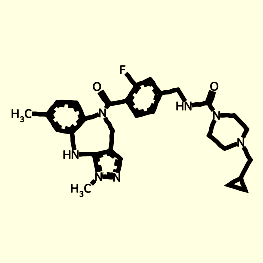 Cc1ccc2c(c1)Nc1c(cnn1C)CN2C(=O)c1ccc(CNC(=O)N2CCN(CC3CC3)CC2)cc1F